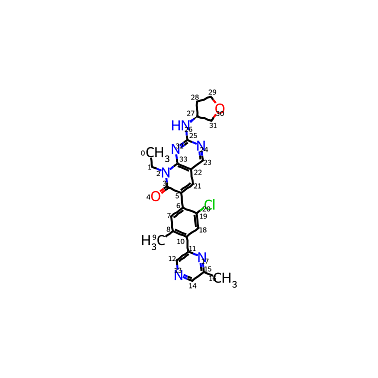 CCn1c(=O)c(-c2cc(C)c(-c3cncc(C)n3)cc2Cl)cc2cnc(N[C@H]3CCOC3)nc21